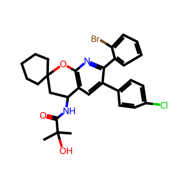 CC(C)(O)C(=O)NC1CC2(CCCCC2)Oc2nc(-c3ccccc3Br)c(-c3ccc(Cl)cc3)cc21